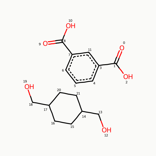 O=C(O)c1cccc(C(=O)O)c1.OCC1CCC(CO)CC1